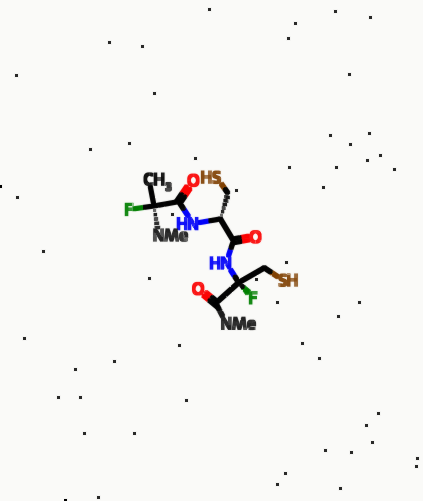 CNC(=O)[C@@](F)(CS)NC(=O)[C@@H](CS)NC(=O)[C@](C)(F)NC